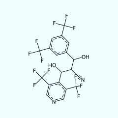 N#CC(C(O)c1cc(C(F)(F)F)cc(C(F)(F)F)c1)C(O)c1c(C(F)(F)F)cncc1C(F)(F)F